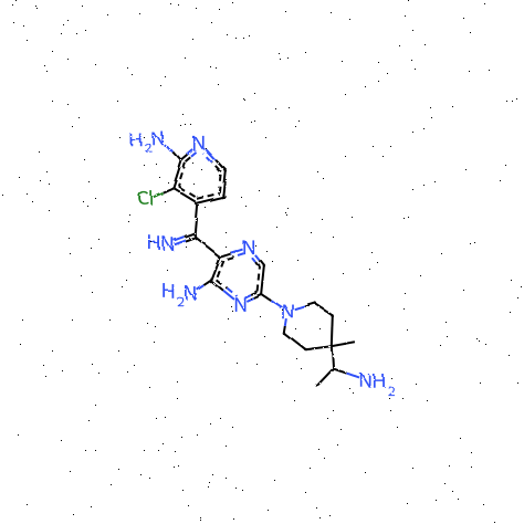 CC(N)C1(C)CCN(c2cnc(C(=N)c3ccnc(N)c3Cl)c(N)n2)CC1